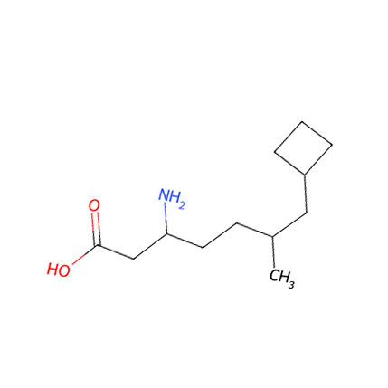 CC(CCC(N)CC(=O)O)CC1CCC1